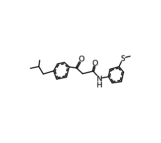 CSc1cccc(NC(=O)CC(=O)c2ccc(CC(C)C)cc2)c1